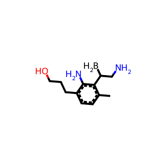 BC(CN)c1c(C)ccc(CCCO)c1N